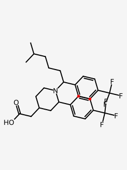 CC(C)CCCC(c1ccc(C(F)(F)F)cc1)N1CCC(CC(=O)O)CC1c1ccc(C(F)(F)F)cc1